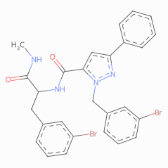 CNC(=O)C(Cc1cccc(Br)c1)NC(=O)c1cc(-c2ccccc2)nn1Cc1cccc(Br)c1